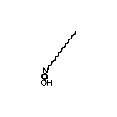 CCCCCCCCCCCCCCCCCC=Nc1ccc(O)cc1